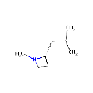 CC(C)C[C@@H]1CCN1C